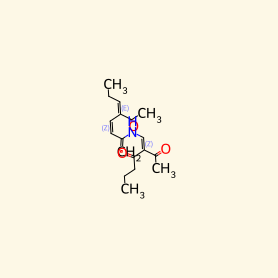 C=C(/C=C\C(=C/CC)C(C)=O)N/C=C(/C(C)=O)C(=O)CCC